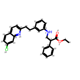 CCOC(=O)C(CNc1cccc(CCc2ccc3ccc(Cl)cc3n2)c1)c1ccccc1